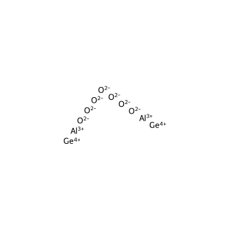 [Al+3].[Al+3].[Ge+4].[Ge+4].[O-2].[O-2].[O-2].[O-2].[O-2].[O-2].[O-2]